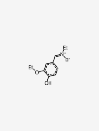 CCOc1cc(C=[N+]([O-])CC)ccc1O